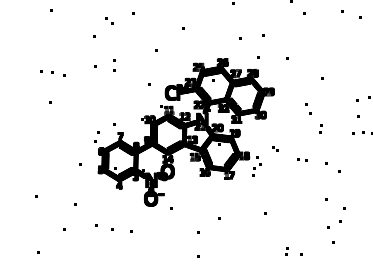 O=[N+]([O-])c1ccccc1-c1ccc2c(c1)c1ccccc1n2-c1c(Cl)ccc2ccccc12